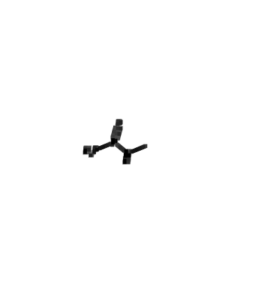 CNP(#P)P